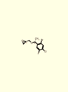 C[C@@H](OC[C@H]1CO1)c1cc(F)c(Cl)cc1Br